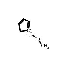 [C-]1=CC=CC1.[CH3][Ga+][CH3]